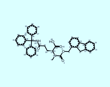 CN(C(=O)OCc1cccc2c1Cc1ccccc1-2)[C@@H](CCC(=O)NC(c1ccccc1)(c1ccccc1)c1ccccc1)C(=O)O